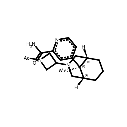 CO[C@@]1(c2ccnc(C(N)=O)c2)[C@@H]2CCC[C@H]1CN(C1CN(C(C)=O)C1)C2